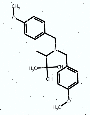 COc1ccc(CN(Cc2ccc(OC)cc2)C(I)C(C)(C)O)cc1